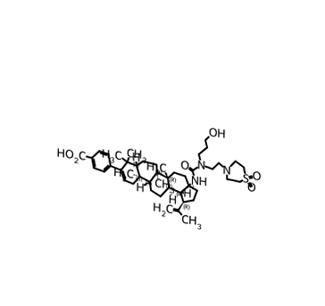 C=C(C)[C@@H]1CC[C@]2(NC(=O)N(CCCO)CCN3CCS(=O)(=O)CC3)CC[C@]3(C)[C@H](CC[C@@H]4[C@@]5(C)CC=C(c6ccc(C(=O)O)cc6)C(C)(C)[C@@H]5CC[C@]43C)[C@@H]12